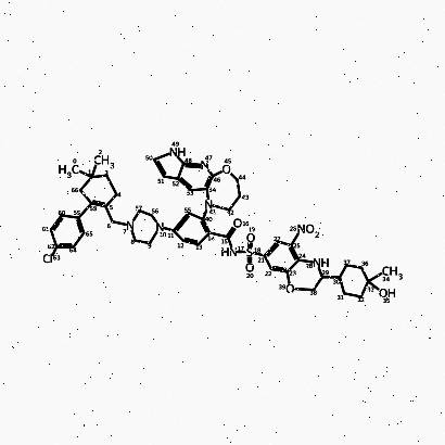 CC1(C)CCC(CN2CCN(c3ccc(C(=O)NS(=O)(=O)c4cc5c(c([N+](=O)[O-])c4)NC(C4CCC(C)(O)CC4)CO5)c(N4CCCOc5nc6[nH]ccc6cc54)c3)CC2)=C(c2ccc(Cl)cc2)C1